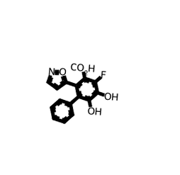 O=C(O)c1c(F)c(O)c(O)c(-c2ccccc2)c1-c1ccno1